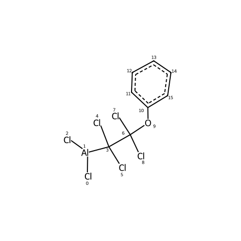 [Cl][Al]([Cl])[C](Cl)(Cl)C(Cl)(Cl)Oc1ccccc1